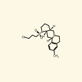 Cc1ccc2c(c1)CCN1C[C@H]3CCCN(S(=O)(=O)CCCCl)[C@H]3C[C@@H]21